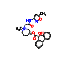 Cc1cc(NC(=O)C[N+]2(C)CCC[C@@H](OC(=O)C3(O)c4ccccc4-c4ccccc43)C2)no1